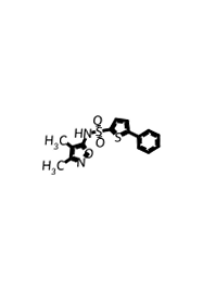 Cc1noc(NS(=O)(=O)c2ccc(-c3ccccc3)s2)c1C